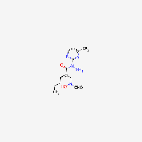 NN(C(=O)[C@H](CCCC(F)(F)F)CN(O)C=O)c1nccc(C(F)(F)F)n1